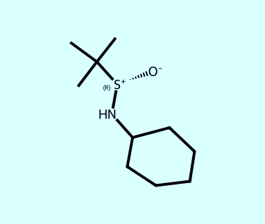 CC(C)(C)[S@+]([O-])NC1CCCCC1